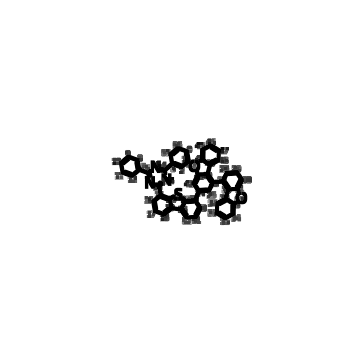 c1ccc(-c2nc(-c3ccccc3)nc(-c3cccc4c3sc3c(-c5cc(-c6cccc7oc8ccccc8c67)c6c(c5)oc5ccccc56)cccc34)n2)cc1